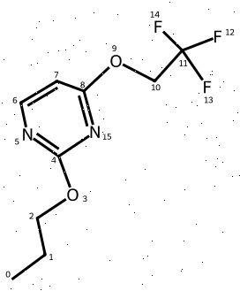 CCCOc1nccc(OCC(F)(F)F)n1